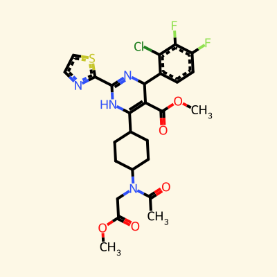 COC(=O)CN(C(C)=O)C1CCC(C2=C(C(=O)OC)C(c3ccc(F)c(F)c3Cl)N=C(c3nccs3)N2)CC1